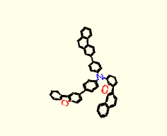 c1ccc2c(c1)ccc1cc(-c3ccc(N(c4ccc(-c5ccc6oc7ccccc7c6c5)cc4)c4cccc5c4oc4c6ccccc6ccc54)cc3)ccc12